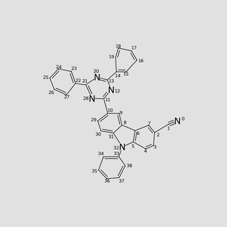 N#Cc1ccc2c(c1)c1cc(-c3nc(-c4ccccc4)nc(-c4ccccc4)n3)ccc1n2-c1ccccc1